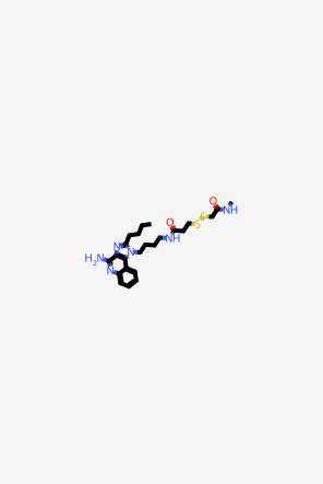 CCCCc1nc2c(N)nc3ccccc3c2n1CCCCNC(=O)CCSSCC(=O)NC